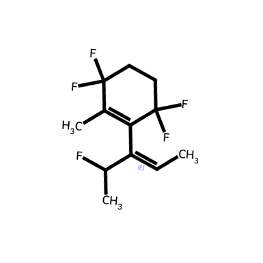 C/C=C(\C1=C(C)C(F)(F)CCC1(F)F)C(C)F